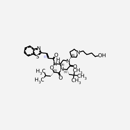 CC(C)C[C@@H]1ON(C(=O)/C=C/c2nc3ccccc3s2)[C@@H]2CN([C@@H]3CCN(CCCCO)C3)C(=O)[C@H](CC(C)(C)C)N2C1=O